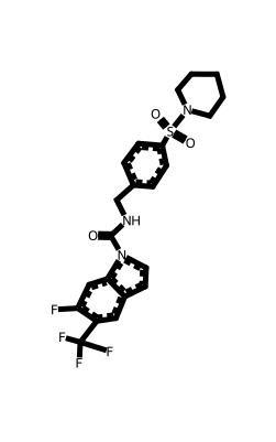 O=C(NCc1ccc(S(=O)(=O)N2CCCCC2)cc1)n1ccc2cc(C(F)(F)F)c(F)cc21